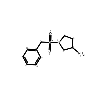 NC1CCN(S(=O)(=O)Cc2ccccc2)C1